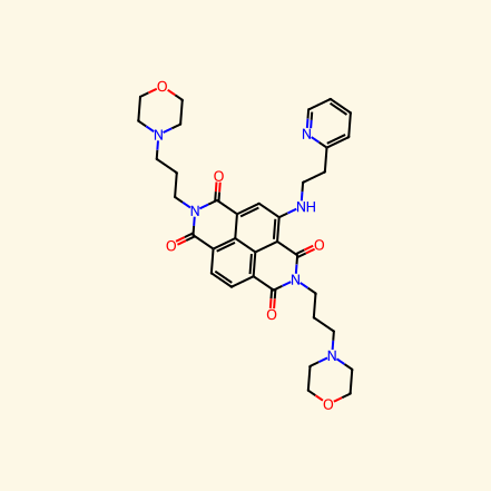 O=C1c2ccc3c4c(c(NCCc5ccccn5)cc(c24)C(=O)N1CCCN1CCOCC1)C(=O)N(CCCN1CCOCC1)C3=O